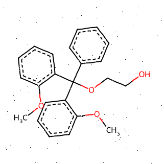 COc1ccccc1C(OCCO)(c1ccccc1)c1ccccc1OC